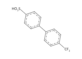 O=S(=O)(O)c1ccc(-c2ccc(C(F)(F)F)cc2)cc1